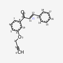 C#CCOc1cccc(C(=O)/C=C/c2ccccc2)c1